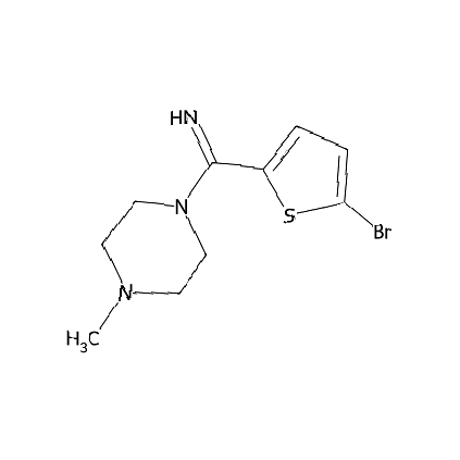 CN1CCN(C(=N)c2ccc(Br)s2)CC1